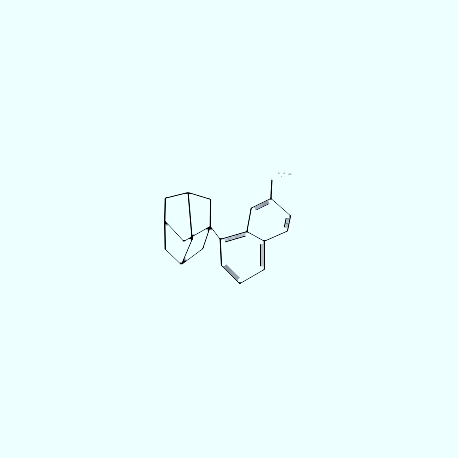 COc1ccc2c[c]cc(C34CC5CC(CC(C5)C3)C4)c2c1